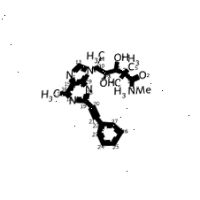 CNC(=O)C(C)(C)C(O)[C@@H](O)[C@@H](C)n1cnc2c(C)nc(C#Cc3ccccc3)nc21